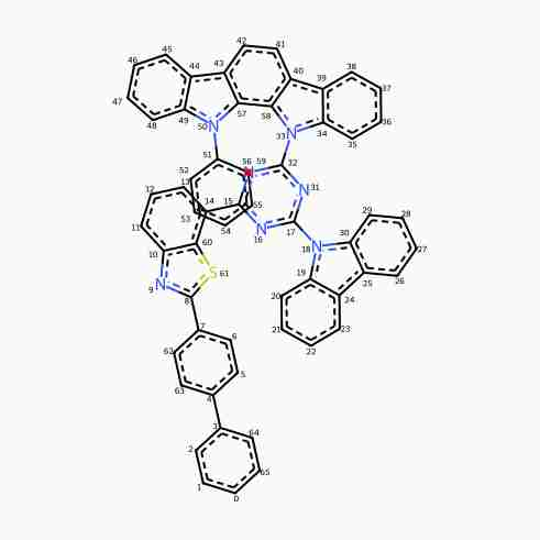 c1ccc(-c2ccc(-c3nc4cccc(-c5nc(-n6c7ccccc7c7ccccc76)nc(-n6c7ccccc7c7ccc8c9ccccc9n(-c9ccccc9)c8c76)n5)c4s3)cc2)cc1